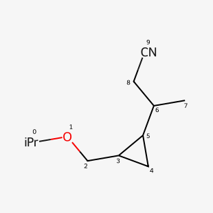 CC(C)OCC1CC1C(C)CC#N